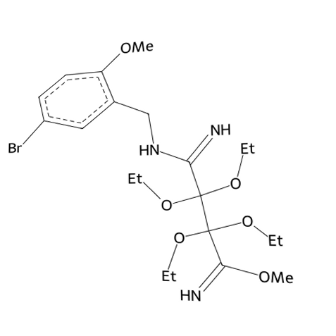 CCOC(OCC)(C(=N)NCc1cc(Br)ccc1OC)C(OCC)(OCC)C(=N)OC